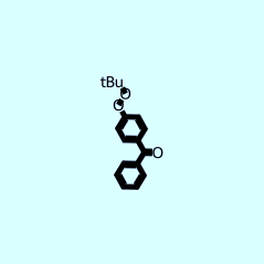 CC(C)(C)OOc1ccc(C(=O)c2ccccc2)cc1